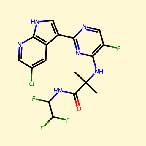 CC(C)(Nc1nc(-c2c[nH]c3ncc(Cl)cc23)ncc1F)C(=O)NC(F)C(F)F